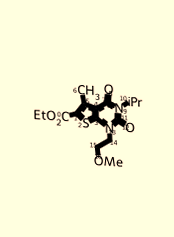 CCOC(=O)c1sc2c(c1C)c(=O)n(C(C)C)c(=O)n2CCOC